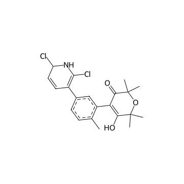 Cc1ccc(C2=C(Cl)NC(Cl)C=C2)cc1C1=C(O)C(C)(C)OC(C)(C)C1=O